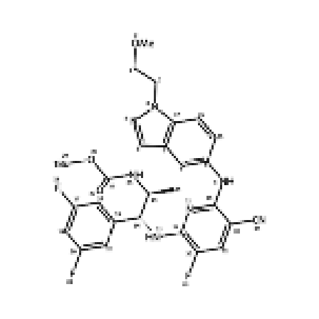 COCCn1ncc2cc(Nc3nc(N[C@H](c4cc(F)cc(F)c4)[C@H](C)NC(=O)OC(C)(C)C)c(F)cc3C#N)ccc21